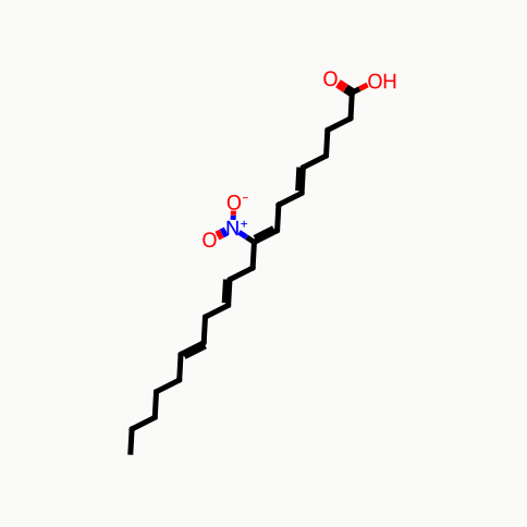 CCCCCC=CCC=CCC(=CCC=CCCCC(=O)O)[N+](=O)[O-]